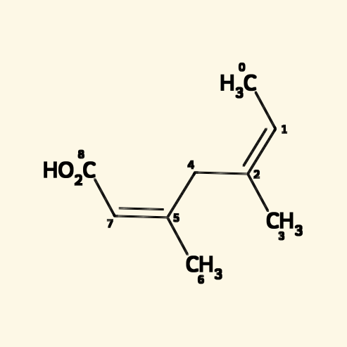 C/C=C(/C)C/C(C)=C\C(=O)O